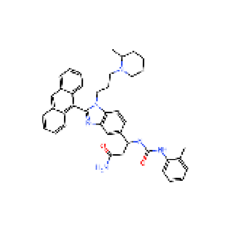 Cc1ccccc1NC(=O)NC(CC(N)=O)c1ccc2c(c1)nc(-c1c3ccccc3cc3ccccc13)n2CCCN1CCCCC1C